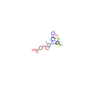 CC[C@@H]1CC(N(Cc2cc(C(F)(F)F)cc(C(F)(F)F)c2)c2ncc(N3CCN(C)C3=O)cn2)C[C@H](CC)N1C(=O)O[C@H]1CC[C@H](C(=O)O)CC1